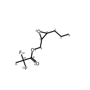 CCCC1OC1COC(=O)C(C)(F)F